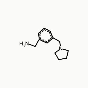 NCc1cccc(CN2CCCC2)c1